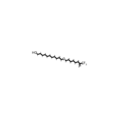 OCCCCCCCCCCCOCCCCCCC(F)C(F)(F)F